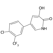 O=c1[nH]cc(-c2ccc(Cl)c(C(F)(F)F)c2)cc1O